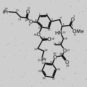 COC(=O)[C@H](Cc1ccc(OC(=O)CCC(C)C)c(OC(=O)CCC(C)C)c1)NCC(C)OC(=O)Oc1ccccc1